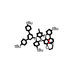 Cc1cc2c3c(c1)N(C1C=C(c4ccc(C(C)(C)C)cc4)C=C(c4ccc(C(C)(C)C)cc4)C1)c1ccc(C(C)(C)C)cc1B3c1cc3c(cc1N2c1ccc(C(C)(C)C)cc1-c1ccccc1)OCCCO3